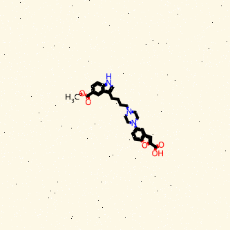 COC(=O)c1ccc2[nH]cc(CCCCN3CCN(c4ccc5oc(C(=O)O)cc5c4)CC3)c2c1